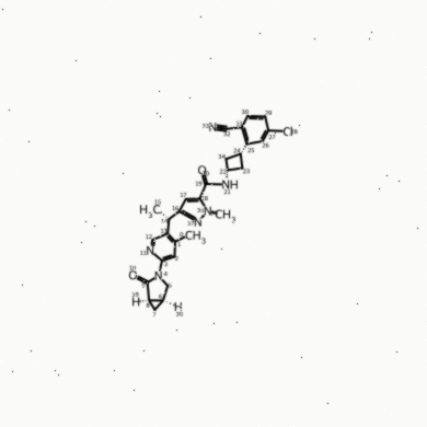 Cc1cc(N2C[C@H]3C[C@H]3C2=O)ncc1[C@H](C)c1cc(C(=O)N[C@H]2C[C@@H](c3cc(Cl)ccc3C#N)C2)n(C)n1